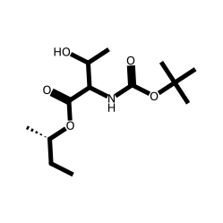 CC[C@H](C)OC(=O)C(NC(=O)OC(C)(C)C)C(C)O